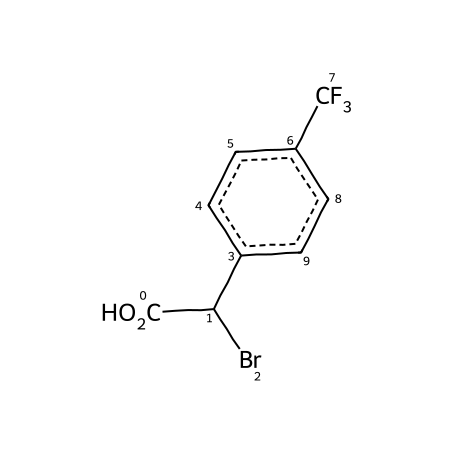 O=C(O)C(Br)c1ccc(C(F)(F)F)cc1